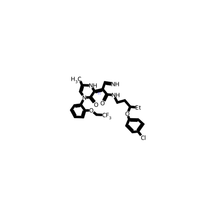 CCC(CCNC(=O)/C(C=N)=C1/NC(C)=CN(c2ccccc2OCC(F)(F)F)C1=O)Oc1ccc(Cl)cc1